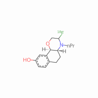 CCCN1C([18F])CO[C@@H]2c3cc(O)ccc3CC[C@H]21